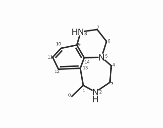 CC1NCCN2CCNc3cccc1c32